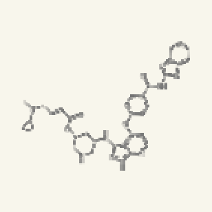 CN(C/C=C/C(=O)OC1CNC[C@H](Nc2n[nH]c3nccc(Oc4ccc(C(=O)Nc5nc6ccccc6s5)cc4)c23)C1)C1CC1